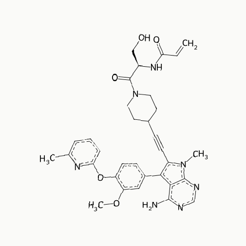 C=CC(=O)N[C@H](CO)C(=O)N1CCC(C#Cc2c(-c3ccc(Oc4cccc(C)n4)c(OC)c3)c3c(N)ncnc3n2C)CC1